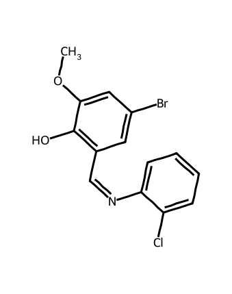 COc1cc(Br)cc(/C=N\c2ccccc2Cl)c1O